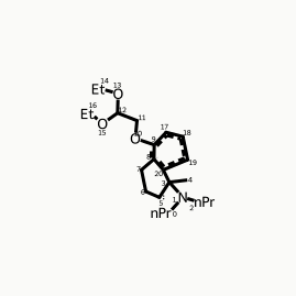 CCCN(CCC)C1(C)[C]CCc2c(OCC(OCC)OCC)cccc21